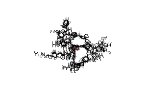 CC[C@H](CC(C)C)C(=O)N[C@H]1C(=O)C[C@@H](CC(=O)NC(=O)Cc2ccc(OCCN)cc2)C(=O)N[C@H]2C(=O)C[C@H]3C(=O)N[C@H](C(=O)N[C@H](C(=O)CC4C5CC6CC(C5)CC4C6)c4cc(O)cc(O)c4-c4cc3ccc4O)[C@H](O)c3ccc(c(Cl)c3)Oc3cc2cc(c3O[C@@H]2O[C@H](CO)[C@@H](O)[C@H](O)[C@H]2O[C@H]2C[C@](C)(N)[C@H](O)[C@H](C)O2)Oc2ccc(cc2Cl)[C@H]1O